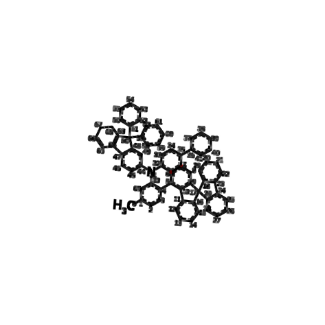 Cc1ccc(-c2cccc3c2-c2ccccc2C32c3ccccc3-c3ccccc32)c(N(c2ccc(-c3ccccc3)cc2)c2ccc3c(c2)C(c2ccccc2)(c2ccccc2)C2=C3C=CCC2)c1